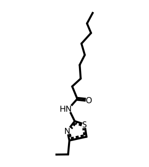 CCCCCCCCC(=O)Nc1nc(CC)cs1